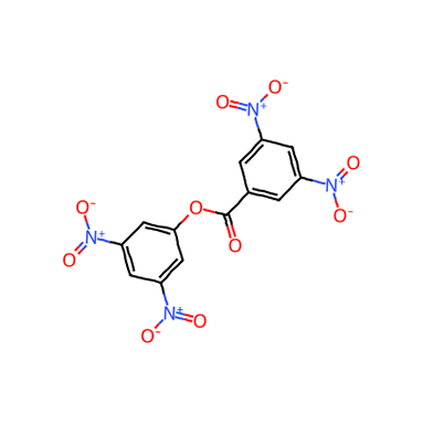 O=C(Oc1cc([N+](=O)[O-])cc([N+](=O)[O-])c1)c1cc([N+](=O)[O-])cc([N+](=O)[O-])c1